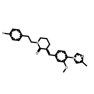 COc1cc(/C=C2\CCCN(CCc3ccc(F)cc3)C2=O)ccc1-n1cnc(C)c1